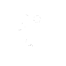 CC1=C(C2CC=CCC2)CC(C2CCCC(C3CCCC(c4cccc(C5(C6=CCCCC6)C6CCCCC6O[C@@H]6CCCCC65)c4)C3)C2)N=C1C1CCCCC1